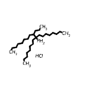 CCCCCCCCC(CCC)C(P)(CCCCCCCC)CCCCCCCC.Cl